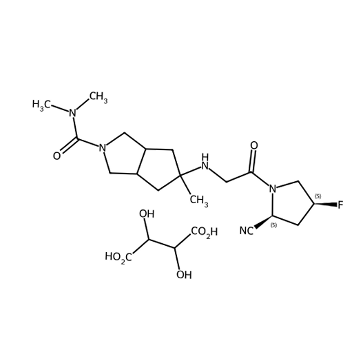 CN(C)C(=O)N1CC2CC(C)(NCC(=O)N3C[C@@H](F)C[C@H]3C#N)CC2C1.O=C(O)C(O)C(O)C(=O)O